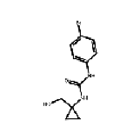 O=C(Nc1ccc(Br)cc1)NC1(CO)CC1